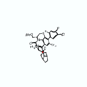 C=CC(=O)N1C2CCC1CN(c1nc(=O)n3c4c(c(-c5cc(Cl)c(F)cc5F)c(C(F)(F)F)cc14)SC[C@@H]3COC)C2